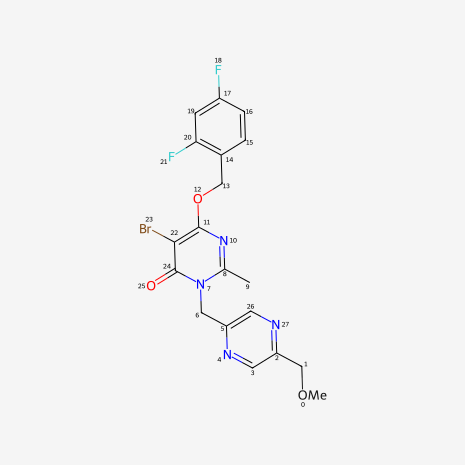 COCc1cnc(Cn2c(C)nc(OCc3ccc(F)cc3F)c(Br)c2=O)cn1